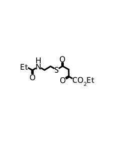 CCOC(=O)C(=O)CC(=O)SCCNC(=O)CC